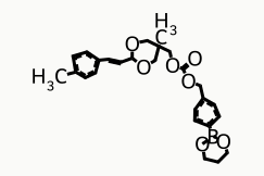 Cc1ccc(/C=C/C2OCC(C)(COC(=O)OCc3ccc(B4OCCCO4)cc3)CO2)cc1